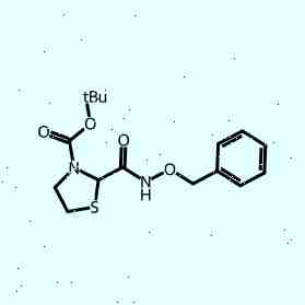 CC(C)(C)OC(=O)N1CCSC1C(=O)NOCc1ccccc1